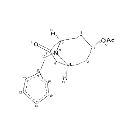 CC(=O)O[C@@H]1C[C@H]2CC(=O)[C@@H](C1)N2Cc1ccccc1